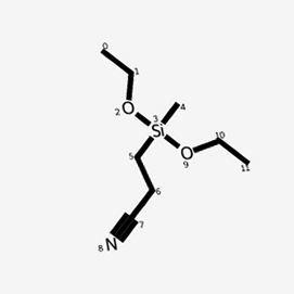 CCO[Si](C)(CCC#N)OCC